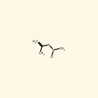 C=C(C)SN(C)Cl